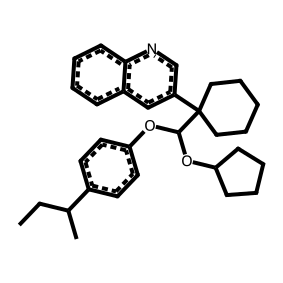 CCC(C)c1ccc(OC(OC2CCCC2)C2(c3cnc4ccccc4c3)CCCCC2)cc1